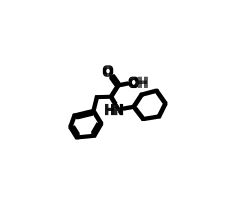 O=C(O)C(Cc1ccccc1)NC1CCCCC1